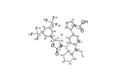 CCN(c1ncc(-c2cccn2C(=O)O)cc1CN1C(=O)O[C@@H](c2cc(C(F)(F)F)cc(C(F)(F)F)c2)[C@@H]1C)C1CCCCC1